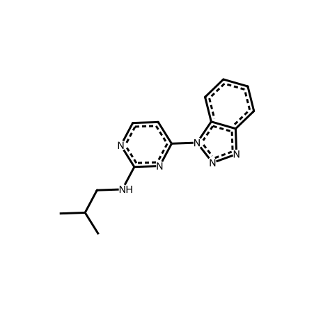 CC(C)CNc1nccc(-n2nnc3ccccc32)n1